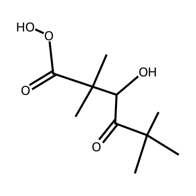 CC(C)(C)C(=O)C(O)C(C)(C)C(=O)OO